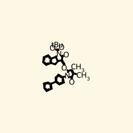 CC1=C(C)C(O/C=C2/C(=O)N(C(=O)OC(C)(C)C)C3c4ccccc4CC23)N(c2ccc(-c3ccccc3)cc2)C1=O